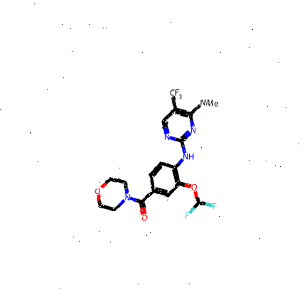 CNc1nc(Nc2ccc(C(=O)N3CCOCC3)cc2OC(F)F)ncc1C(F)(F)F